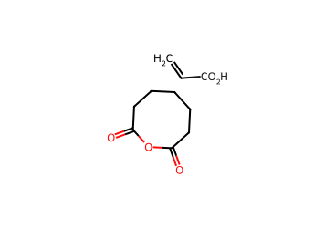 C=CC(=O)O.O=C1CCCCCC(=O)O1